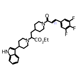 CCOC(=O)C(CC1CCN(C(=O)/C=C/c2cc(F)c(F)c(F)c2)CC1)N1CCC(c2c[nH]c3ccccc23)CC1